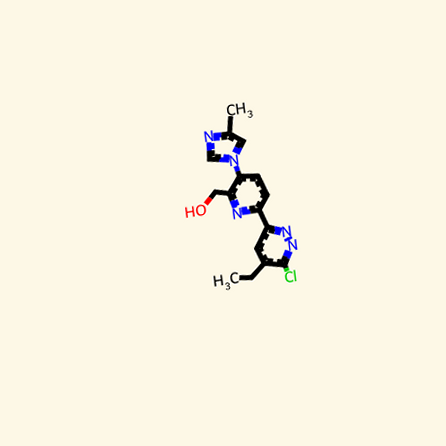 CCc1cc(-c2ccc(-n3cnc(C)c3)c(CO)n2)nnc1Cl